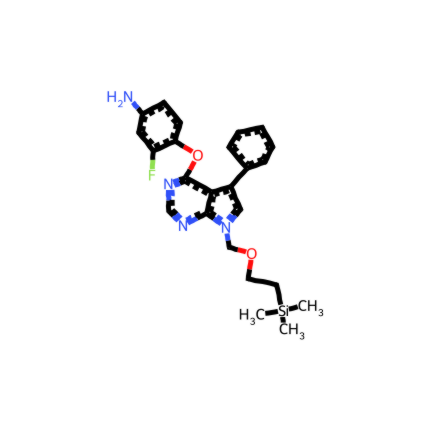 C[Si](C)(C)CCOCn1cc(-c2ccccc2)c2c(Oc3ccc(N)cc3F)ncnc21